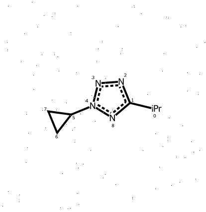 CC(C)c1nnn(C2CC2)n1